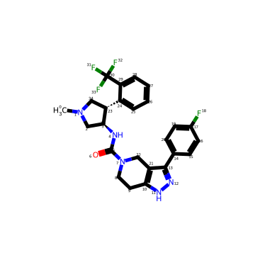 CN1C[C@H](NC(=O)N2CCc3[nH]nc(-c4ccc(F)cc4)c3C2)[C@@H](c2ccccc2C(F)(F)F)C1